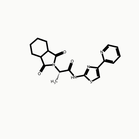 C[C@@H](C(=O)Nc1nc(-c2ccccn2)cs1)N1C(=O)C2CCCCC2C1=O